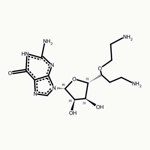 NCCOC(CCN)[C@H]1O[C@@H](n2cnc3c(=O)[nH]c(N)nc32)[C@H](O)[C@@H]1O